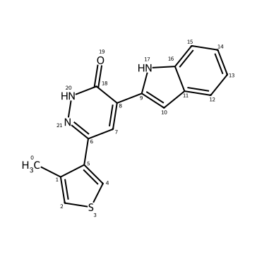 Cc1cscc1-c1cc(-c2cc3ccccc3[nH]2)c(=O)[nH]n1